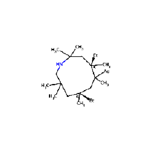 CC[C@@]1(C)CC(C)(C)CNC(C)(C)C[C@@](C)(CC)C(C)(C(C)=O)C1